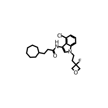 O=C(CCC1CCCCCC1)Nc1cn(CCC2(F)COC2)c2cccc(Cl)c12